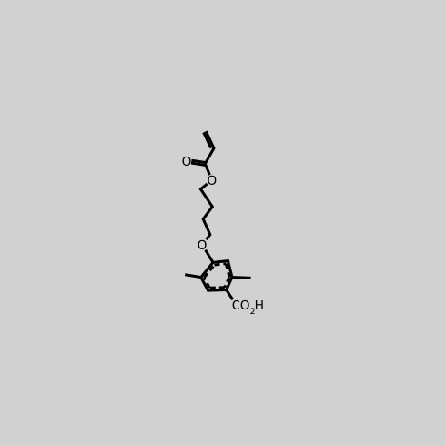 C=CC(=O)OCCCCOc1cc(C)c(C(=O)O)cc1C